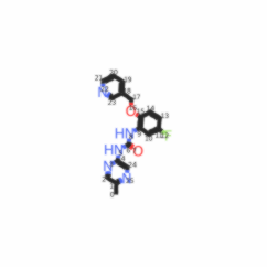 Cc1cnc(NC(=O)Nc2cc(F)ccc2OCc2cccnc2)cn1